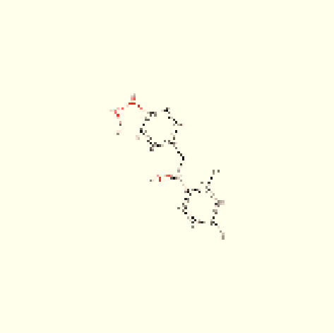 Cc1ccc(C(=O)Cc2ccc3c(c2)COO3)c(C)c1